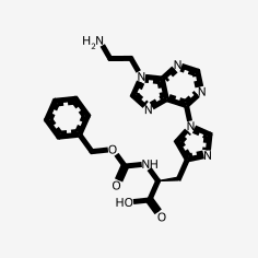 NCCn1cnc2c(-n3cnc(C[C@H](NC(=O)OCc4ccccc4)C(=O)O)c3)ncnc21